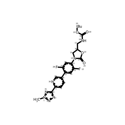 Cn1nnc(-c2ccc(-c3cc(F)c(N4CC(CNC(=O)OC(C)(C)C)OC4=O)cc3F)cn2)n1